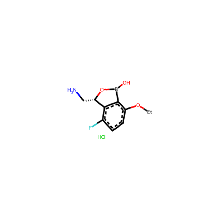 CCOc1ccc(F)c2c1B(O)O[C@H]2CN.Cl